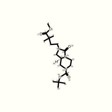 COC(=O)C(C)(C)CCN1C[C@@H]2CN(C(=O)OC(C)(C)C)CCN2C1=O